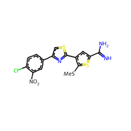 CSc1sc(C(=N)N)cc1-c1nc(-c2ccc(Cl)c([N+](=O)[O-])c2)cs1